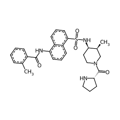 Cc1ccccc1C(=O)Nc1cccc2c(S(=O)(=O)N[C@@H]3CCN(C(=O)[C@@H]4CCCN4)C[C@@H]3C)cccc12